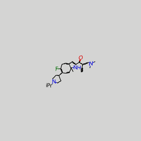 C#C/C(=C\N(C)C)C(=O)C1=C/C2=C/C/C(F)=C(C3CCN(C(C)C)CC3)\C=C/C2(C)N1